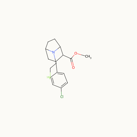 COC(=O)C1C(c2ccc(Cl)cc2)CC2CCC1N2CC[18F]